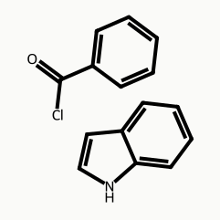 O=C(Cl)c1ccccc1.c1ccc2[nH]ccc2c1